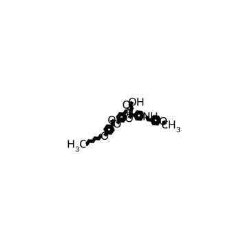 CCCCCCCOc1ccc(C(=O)Oc2ccc(CN(CC(=O)O)C(O)c3ccc(NCc4ccc(OC)cc4)cc3)cc2)cc1